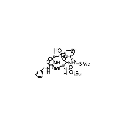 CC[C@H](C)[C@H](NC(=O)[C@H](C)C[C@H](O)[C@H](CC(C)C)NC(=O)[C@H](CCSC)NC(=O)[C@H](CC(C)C)NC(=O)OC(C)(C)C)C(=O)NCc1ccccc1